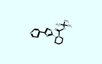 CC(C)(C)OC(=O)N1CCCC[C@@H]1c1nc(-c2ccncc2)cs1